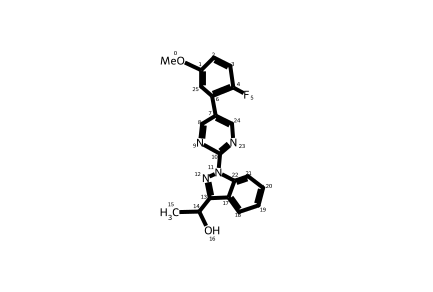 COc1ccc(F)c(-c2cnc(-n3nc(C(C)O)c4cc[c]cc43)nc2)c1